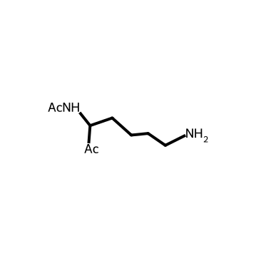 CC(=O)NC(CCCCN)C(C)=O